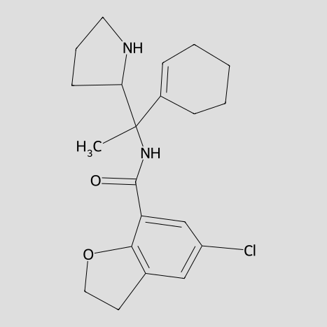 CC(NC(=O)c1cc(Cl)cc2c1OCC2)(C1=CCCCC1)C1CCCN1